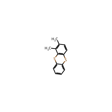 Cc1ccc2c(c1C)Sc1ccccc1S2